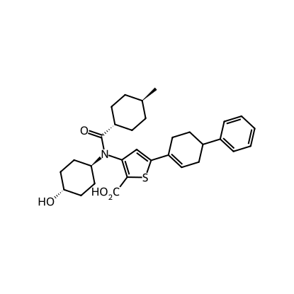 C[C@H]1CC[C@H](C(=O)N(c2cc(C3=CCC(c4ccccc4)CC3)sc2C(=O)O)[C@H]2CC[C@H](O)CC2)CC1